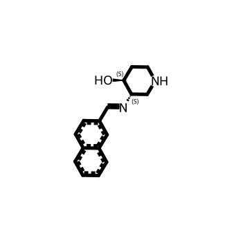 O[C@H]1CCNC[C@@H]1N=Cc1ccc2ccccc2c1